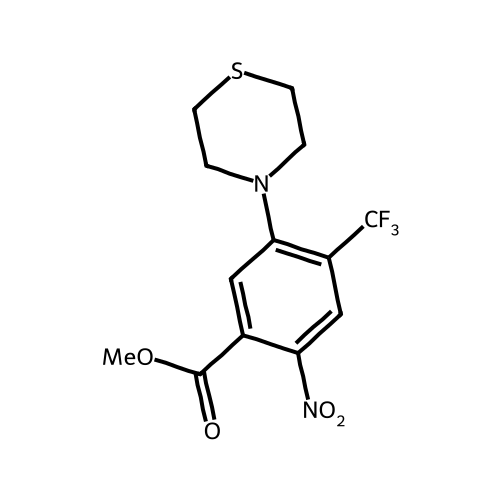 COC(=O)c1cc(N2CCSCC2)c(C(F)(F)F)cc1[N+](=O)[O-]